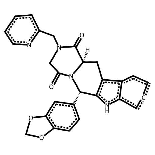 O=C1[C@H]2Cc3c([nH]c4ccccc34)[C@H](c3ccc4c(c3)OCO4)N2C(=O)CN1Cc1ccccn1